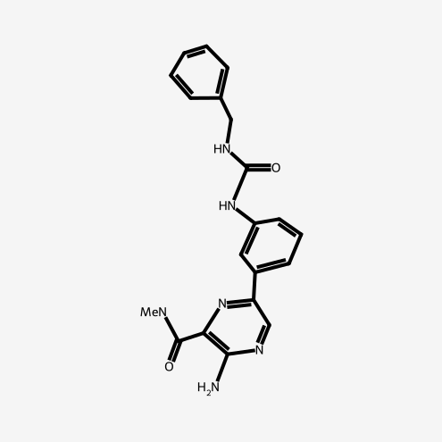 CNC(=O)c1nc(-c2cccc(NC(=O)NCc3ccccc3)c2)cnc1N